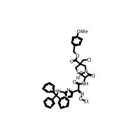 CCON=C(C(=O)NC1C(=O)N2CC(CCl)(C(=O)OCc3ccc(OC)cc3)CS[C@H]12)c1csc(NC(c2ccccc2)(c2ccccc2)c2ccccc2)n1